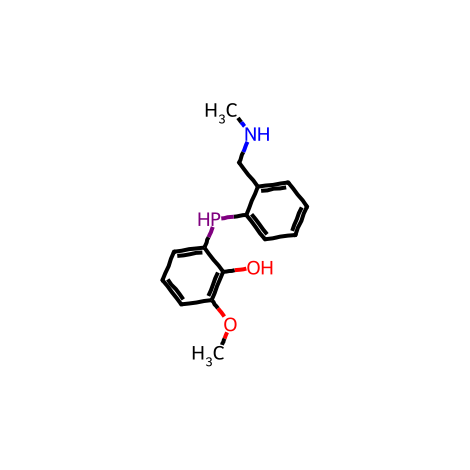 CNCc1ccccc1Pc1cccc(OC)c1O